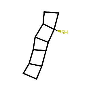 S[C@]12CCC1C1C3C4CCC4C3C12